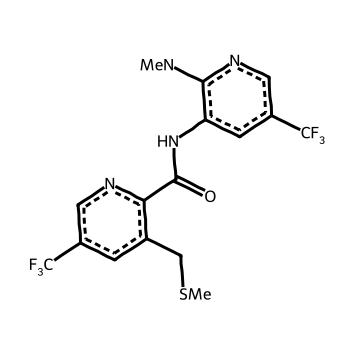 CNc1ncc(C(F)(F)F)cc1NC(=O)c1ncc(C(F)(F)F)cc1CSC